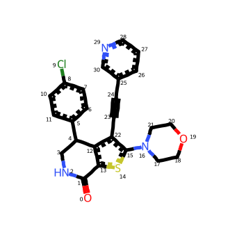 O=C1NCC(c2ccc(Cl)cc2)c2c1sc(N1CCOCC1)c2C#Cc1cccnc1